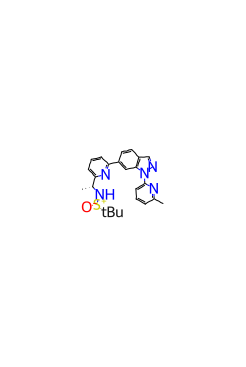 Cc1cccc(-n2ncc3ccc(-c4cccc([C@@H](C)N[S+]([O-])C(C)(C)C)n4)cc32)n1